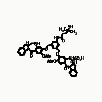 COc1cc2c(cc1OCc1cc(COc3cc4c(cc3OC)C(=O)N3c5ccccc5C[C@H]3[C@H](S(=O)(=O)O)N4)cc(NC(=O)CCC(C)(C)S)c1)NC[C@H]1Cc3ccccc3N1C2=O